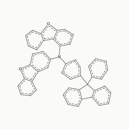 c1ccc(C2(c3ccc(N(c4ccc5oc6ccccc6c5c4)c4cccc5oc6ccccc6c45)cc3)c3ccccc3-c3ccccc32)cc1